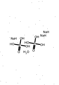 O.O=P(O)(O)O.O=P(O)(O)O.[NaH].[NaH].[NaH]